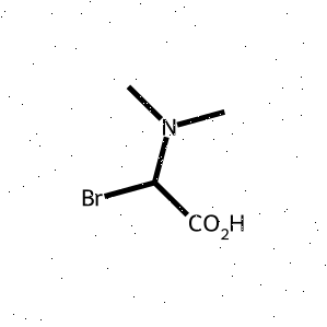 CN(C)C(Br)C(=O)O